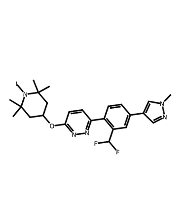 Cn1cc(-c2ccc(-c3ccc(OC4CC(C)(C)N(I)C(C)(C)C4)nn3)c(C(F)F)c2)cn1